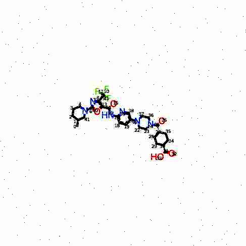 CC1CCCN(c2nc(C(F)(F)F)c(C(=O)Nc3ccc(N4CCN(C(=O)[C@H]5CC[C@H](C(=O)O)CC5)CC4)cn3)o2)C1